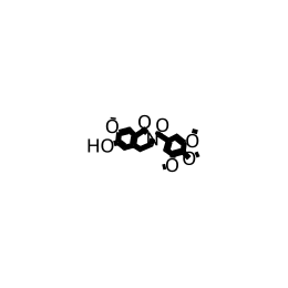 COc1cc2c(cc1O)CCN(C(=O)c1cc(OC)c(OC)c(OC)c1)C2=O